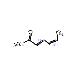 CCCC/C=C\C=C\C(=O)OC